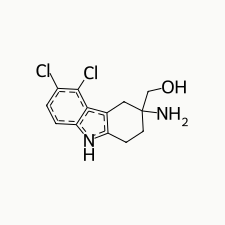 NC1(CO)CCc2[nH]c3ccc(Cl)c(Cl)c3c2C1